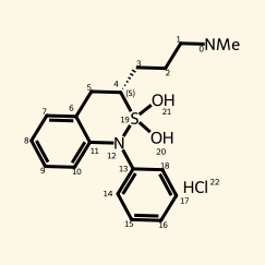 CNCCC[C@H]1Cc2ccccc2N(c2ccccc2)S1(O)O.Cl